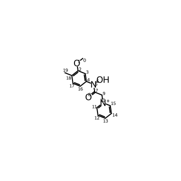 COc1cc(N(O)C(=O)C[n+]2ccccc2)ccc1C